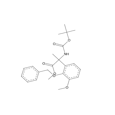 COC(=O)C(C)(NC(=O)OC(C)(C)C)c1cccc(OC)c1OCc1ccccc1